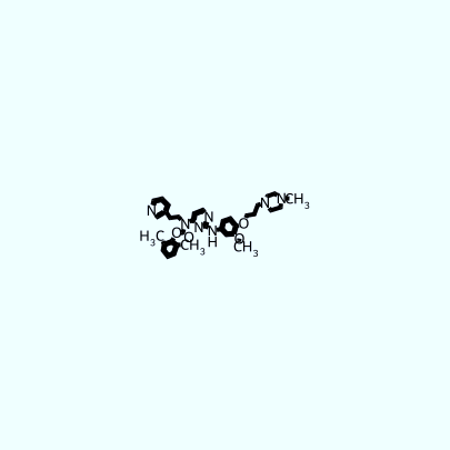 COc1cc(Nc2nccc(N(CCc3cccnc3)C(=O)Oc3c(C)cccc3C)n2)ccc1OCCCN1CCN(C)CC1